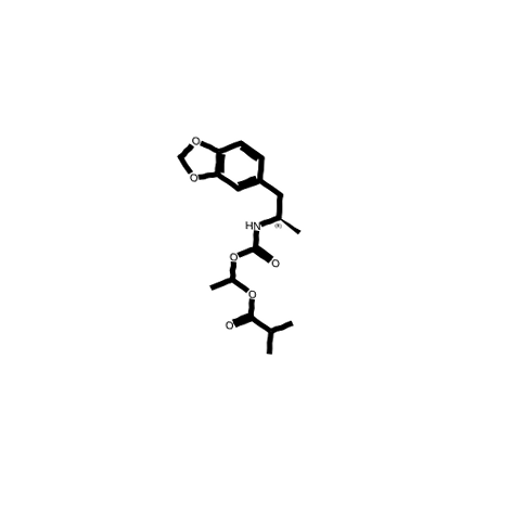 CC(OC(=O)N[C@H](C)Cc1ccc2c(c1)OCO2)OC(=O)C(C)C